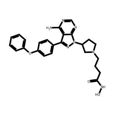 Nc1ncnc2c1c(-c1ccc(Oc3ccccc3)cc1)nn2C1CCN(CCCC(=O)NO)C1